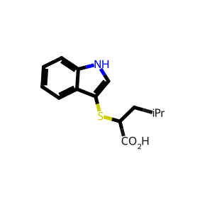 CC(C)CC(Sc1c[nH]c2ccccc12)C(=O)O